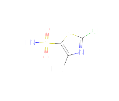 Cc1nc(Cl)sc1S(N)(=O)=O